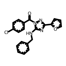 O=C(c1ccc(Cl)cc1)n1nc(-c2ccco2)nc1NCc1ccccc1